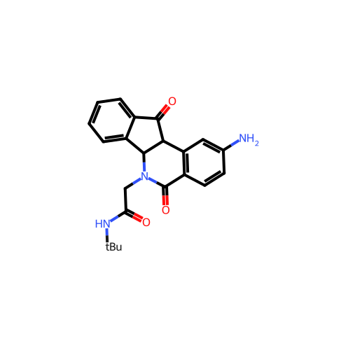 CC(C)(C)NC(=O)CN1C(=O)c2ccc(N)cc2C2C(=O)c3ccccc3C21